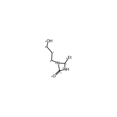 CCC1NC(=O)N1CCCO